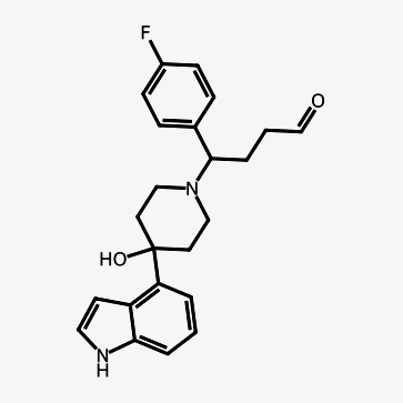 O=CCCC(c1ccc(F)cc1)N1CCC(O)(c2cccc3[nH]ccc23)CC1